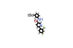 CC(C)(C)c1cccc(NC(=O)c2ccc(-c3ccc(F)cc3F)nc2)c1